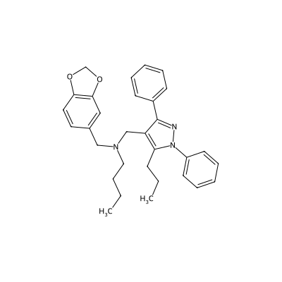 CCCCN(Cc1ccc2c(c1)OCO2)Cc1c(-c2ccccc2)nn(-c2ccccc2)c1CCC